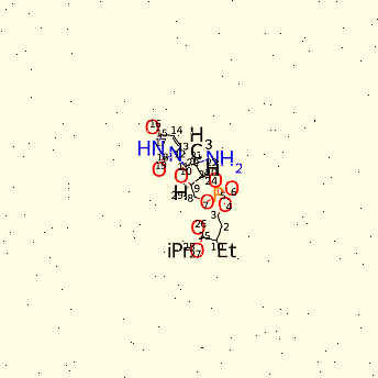 CCC(CCO[P@]1(=O)OC[C@H]2O[C@@H](n3ccc(=O)[nH]c3=O)[C@](C)(N)[C@@H]2O1)C(=O)OC(C)C